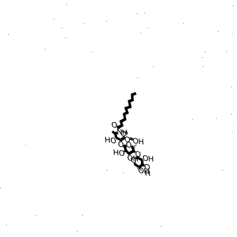 CCCCCCCCCCCC(=O)NC(C)C(O)C(O[C@@H]1O[C@H](C)C(O[C@@H]2OC[C@@H](O)C(O)C2O)C(O)[C@H]1O)C(OC)OCO